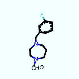 O=CN1CCCN(Cc2cccc(F)c2)CC1